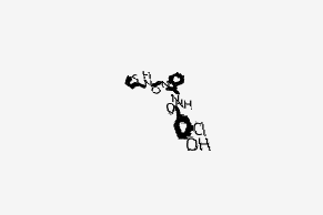 O=C(Cn1cc(/C=N/NC(=O)c2ccc(O)c(Cl)c2)c2ccccc21)NCc1cccs1